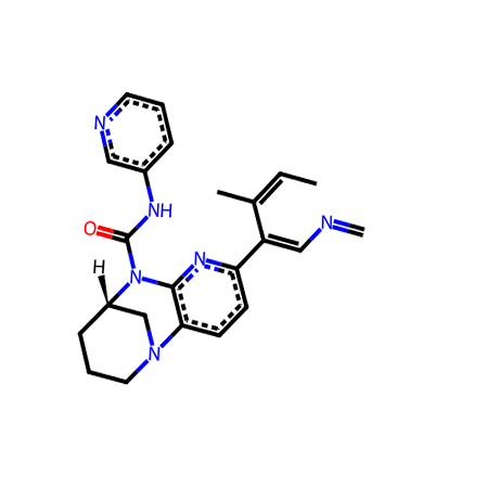 C=N/C=C(\C(C)=C/C)c1ccc2c(n1)N(C(=O)Nc1cccnc1)[C@H]1CCCN2C1